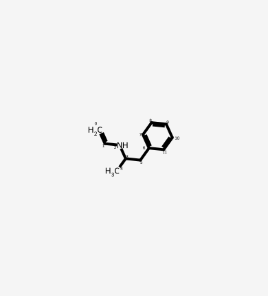 C=CNC(C)Cc1ccccc1